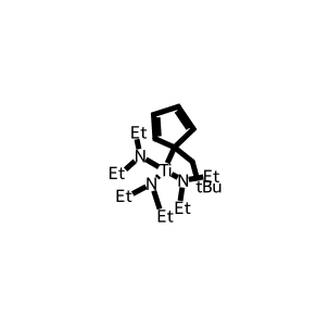 CC[N](CC)[Ti]([N](CC)CC)([N](CC)CC)[C]1(CC(C)(C)C)C=CC=C1